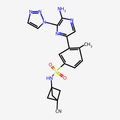 Cc1ccc(S(=O)(=O)NC23CC(C#N)(C2)C3)cc1-c1cnc(N)c(-n2ccnn2)n1